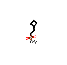 [CH2]S(=O)(=O)CCC1CCC1